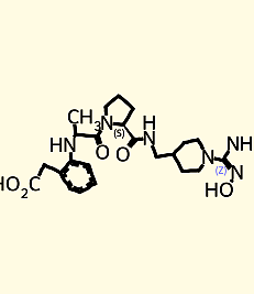 CC(Nc1ccccc1CC(=O)O)C(=O)N1CCC[C@H]1C(=O)NCC1CCN(/C(N)=N\O)CC1